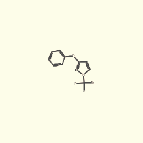 FC(F)(Br)n1ccc(Oc2ccccc2)n1